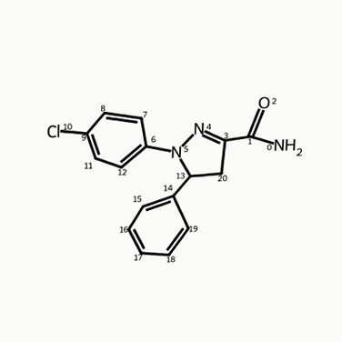 NC(=O)C1=NN(c2ccc(Cl)cc2)C(c2ccccc2)C1